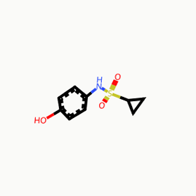 O=S(=O)(Nc1ccc(O)cc1)C1CC1